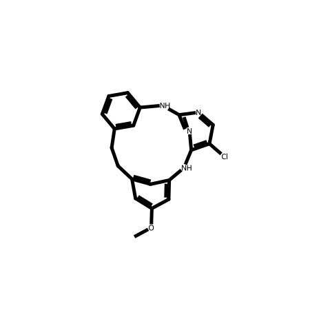 COc1cc2cc(c1)Nc1nc(ncc1Cl)Nc1cccc(c1)CC2